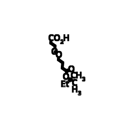 CCC(C)(C)OC(=O)CCCOOCCC(=O)O